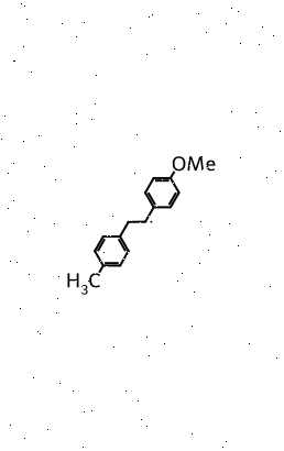 COc1ccc([CH]Cc2ccc(C)cc2)cc1